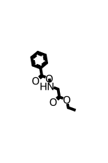 CCOC(=O)CNOC(=O)c1ccccc1